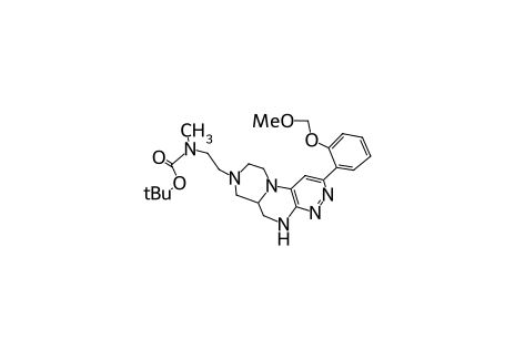 COCOc1ccccc1-c1cc2c(nn1)NCC1CN(CCN(C)C(=O)OC(C)(C)C)CCN21